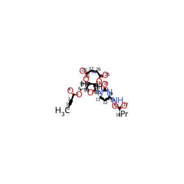 CC#CC(=O)OC[C@H]1O[C@@H](n2ccc(NOC(=O)C(C)C)nc2=O)[C@@H]2OC(=O)/C=C\C(=O)O[C@@H]21